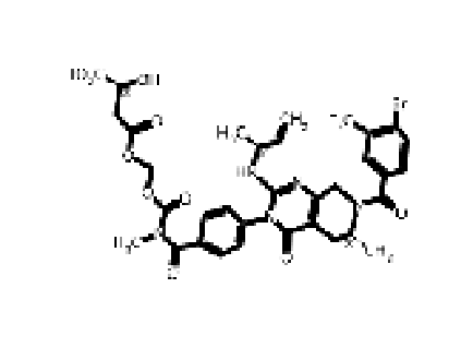 C=C[C@H](C)Nc1nc2c(c(=O)n1-c1ccc(C(=O)N(C)C(=O)OCOC(=O)C[C@H](O)C(=O)O)cc1)C[C@@H](C)N(C(=O)c1ccc(Br)c(C(F)(F)F)c1)C2